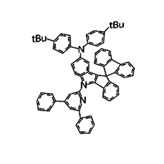 CC(C)(C)c1ccc(N(c2ccc(C(C)(C)C)cc2)c2ccc3c(c2)c2c(n3-c3cc(-c4ccccc4)cc(-c4ccccc4)n3)-c3ccccc3C23c2ccccc2-c2ccccc23)cc1